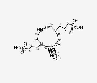 Cl.Cl.Cl.Cl.O=S(=O)(O)CCCN1CCNCCN(CCCS(=O)(=O)O)CCNCC1